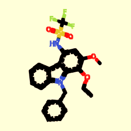 CCOc1c(OC)cc(NS(=O)(=O)C(F)(F)F)c2c3ccccc3n(Cc3ccccc3)c12